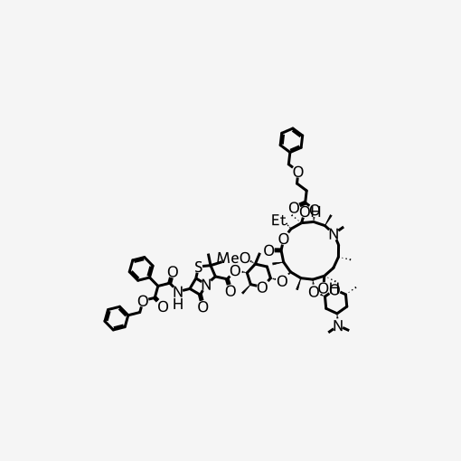 CC[C@H]1OC(=O)[C@H](C)[C@@H](O[C@H]2C[C@@](C)(OC)[C@@H](OC(=O)C3N4C(=O)C(NC(=O)C(C(=O)OCc5ccccc5)c5ccccc5)C4SC3(C)C)[C@H](C)O2)[C@H](C)[C@@H](O[C@H]2C[C@@H](N(C)C)C[C@@H](C)O2)[C@](C)(O)C[C@@H](C)CN(C)[C@H](C)[C@@H](OC(=O)CCOCc2ccccc2)[C@]1(C)O